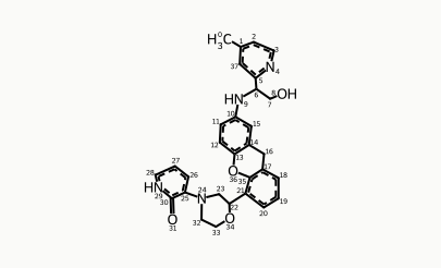 Cc1ccnc(C(CO)Nc2ccc3c(c2)Cc2cccc(C4CN(c5ccc[nH]c5=O)CCO4)c2O3)c1